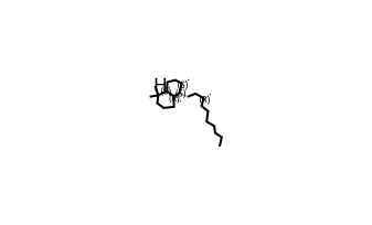 CCCCCCC[C@@H](C)CC[C@H]1[C@@H](C)CC[C@H]2C(C)(C)CCC[C@]12C